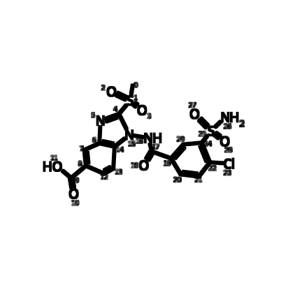 CS(=O)(=O)c1nc2cc(C(=O)O)ccc2n1NC(=O)c1ccc(Cl)c(S(N)(=O)=O)c1